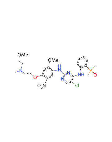 COCCN(C)CCOc1cc(OC)c(Nc2ncc(Cl)c(Nc3ccccc3P(C)(C)=O)n2)cc1[N+](=O)[O-]